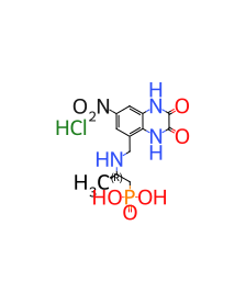 C[C@H](CP(=O)(O)O)NCc1cc([N+](=O)[O-])cc2[nH]c(=O)c(=O)[nH]c12.Cl